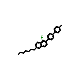 CCCCCCCc1ccc2c(F)c(-c3ccc(-c4ccc(C)cc4)cc3)ccc2c1